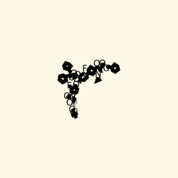 CC(C)(C)[Si](C)(C)OC[C@H]1CN(c2ccc(OCC3(OP(=O)(OCc4ccccc4)OCc4ccccc4)CCN(c4cc5c(cc4F)c(=O)c(C(=O)OCc4ccccc4)cn5C4CC4)CC3)c(F)c2)C(=O)O1